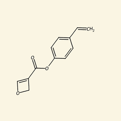 C=Cc1ccc(OC(=O)C2=COC2)cc1